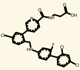 O=C(O)CCNC(=O)c1ccc(-c2cc(Cl)ccc2CNc2ccc(-c3ccc(Cl)cc3Cl)c(F)c2)cn1